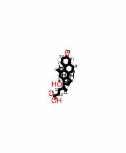 C=C1C[C@@]2(C)[C@@H](C=C[C@@]2(O)C(=C)CCC(=O)O)[C@@H]2CCC3=CC(=O)CC[C@@H]3[C@@H]12